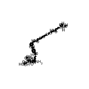 Nc1nc(=O)n([C@@H]2O[C@H](COP(=O)(O)O)C(OP(=O)(O)O)[C@@H]2O)cc1CCCNC(=O)c1ccc(/N=N/c2cc(CCNC(=O)CCOCCOCCOCCOCCNC(=O)CCCC[C@@H]3SC[C@@H]4NC(=O)N[C@@H]43)ccc2O)cc1